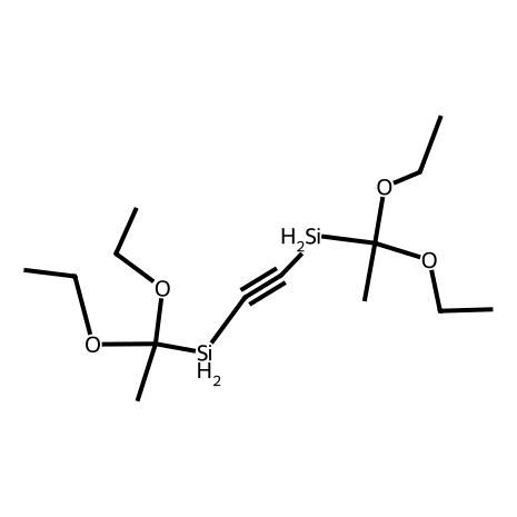 CCOC(C)(OCC)[SiH2]C#C[SiH2]C(C)(OCC)OCC